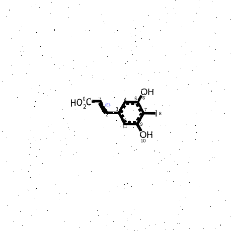 O=C(O)/C=C/c1cc(O)c(I)c(O)c1